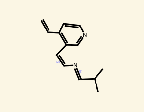 C=Cc1ccncc1/C=C\N=C\C(C)C